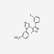 Cc1onc(-c2cccc(F)c2)c1-c1cncn1-c1cccc(C(=O)O)c1